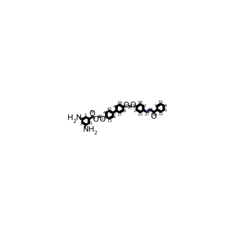 Nc1cc(N)cc(C(=O)OCOc2ccc(-c3ccc(OCOc4ccc(/C=C/C(=O)c5ccccc5)cc4)cc3)cc2)c1